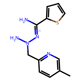 Cc1ccc(CN(N)/N=C(\N)c2cccs2)nc1